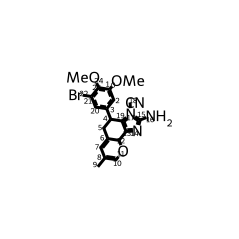 COc1cc(C2CC3=CC(C)=COC3c3nc(N)n(C#N)c32)cc(Br)c1OC